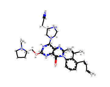 C=C/C=C\c1cccc(-n2c(C)nc3c(N4CCN[C@@H](CC#N)C4)nc(OC[C@@H]4CCCN4C)nc3c2=O)c1C(=C)C